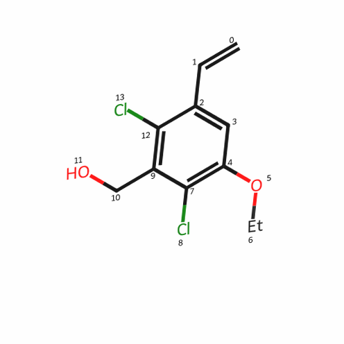 C=Cc1cc(OCC)c(Cl)c(CO)c1Cl